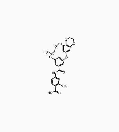 COC[C@H](C)Oc1cc(Oc2ccc3c(c2)OCCO3)cc(C(=O)Nc2ccc(C(=O)O)c(C)n2)c1